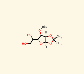 CCCCO[C@H]1[C@H]2OC(C)(C)O[C@H]2O[C@@H]1[C@H](O)CO